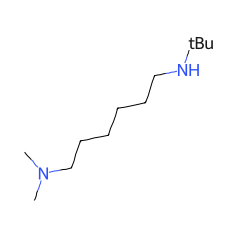 CN(C)CCCCCCNC(C)(C)C